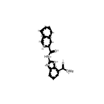 COC(=O)c1cccc2nc(NC(=O)c3cc4ccccc4cn3)oc12